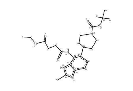 CCOC(=O)CCC(=O)Nc1c(C2CCN(C(=O)OC(C)(C)C)CC2)ccc2nc(C)[nH]c12